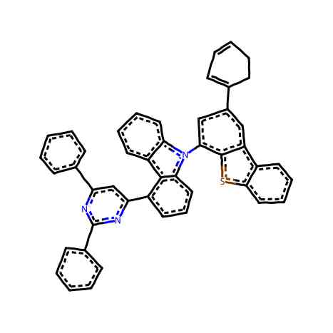 C1=CCCC(c2cc(-n3c4ccccc4c4c(-c5cc(-c6ccccc6)nc(-c6ccccc6)n5)cccc43)c3sc4ccccc4c3c2)=C1